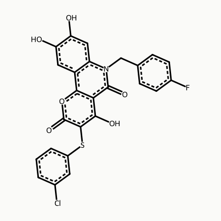 O=c1oc2c(c(O)c1Sc1cccc(Cl)c1)c(=O)n(Cc1ccc(F)cc1)c1cc(O)c(O)cc21